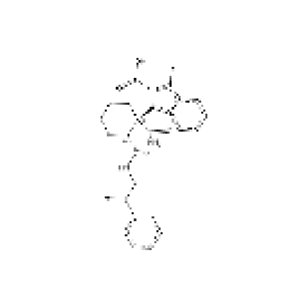 Cn1c(C(=O)O)c([C@]2(C(N)=O)CCCC[C@H]2C(=O)NCC(=O)c2ccccc2)c2ccccc21